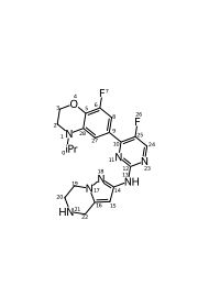 CC(C)N1CCOc2c(F)cc(-c3nc(Nc4cc5n(n4)CCNC5)ncc3F)cc21